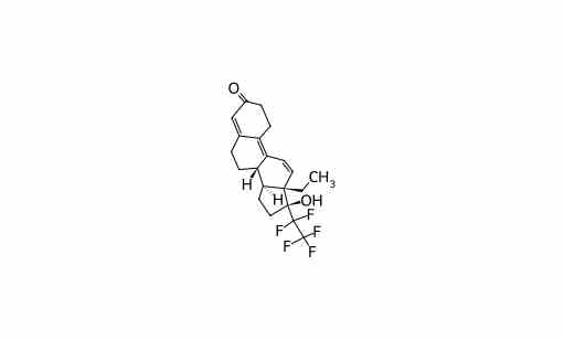 CC[C@]12C=CC3=C4CCC(=O)C=C4CC[C@H]3[C@@H]1CC[C@@]2(O)C(F)(F)C(F)(F)F